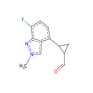 Cn1cc2c(C3CC3C=O)ccc(F)c2n1